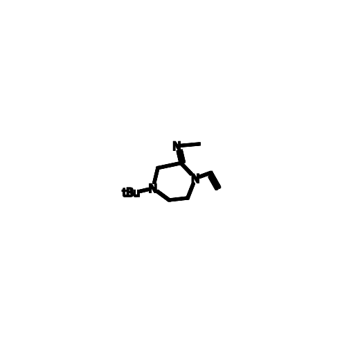 C=CN1CCN(C(C)(C)C)C/C1=N/C